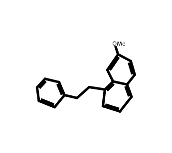 COc1ccc2cccc(CCc3ccccc3)c2c1